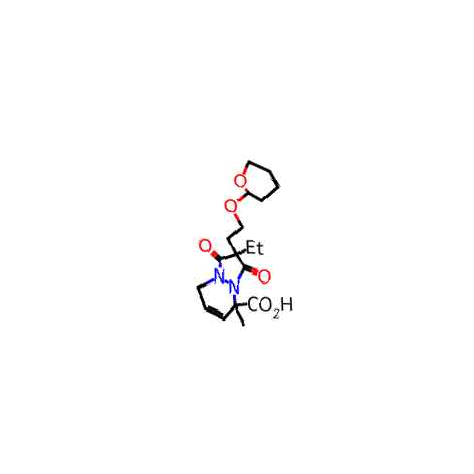 CCC1(CCOC2CCCCO2)C(=O)N2CC=CC(C)(C(=O)O)N2C1=O